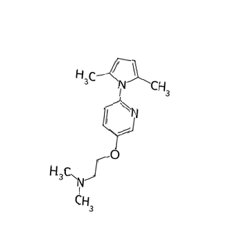 Cc1ccc(C)n1-c1ccc(OCCN(C)C)cn1